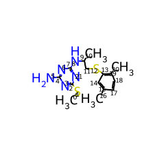 CSc1nc(N)nc(NC(C)CSc2cc(C)ccc2C)n1